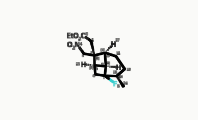 CCOC(=O)C[C@]1(C[N+](=O)[O-])[C@@H]2CC3(F)[C@@H]2[C@@H]1CC[C@H]3C